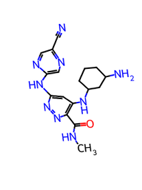 CNC(=O)c1nnc(Nc2cnc(C#N)cn2)cc1NC1CCCC(N)C1